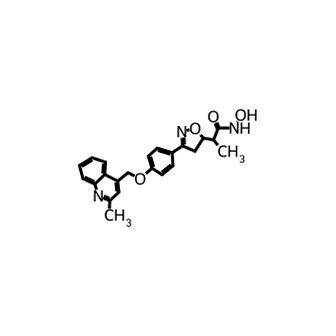 Cc1cc(COc2ccc(C3=NOC(C(C)C(=O)NO)C3)cc2)c2ccccc2n1